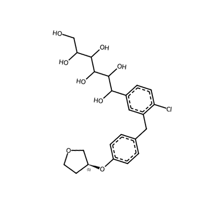 OCC(O)C(O)C(O)C(O)C(O)c1ccc(Cl)c(Cc2ccc(O[C@H]3CCOC3)cc2)c1